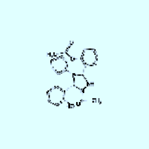 CC(=O)Oc1ccccc1[C@@H]1NN(C(C)=O)[C@H](c2ccccc2O)[P@]1c1ccccc1